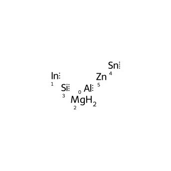 [Al].[In].[MgH2].[Si].[Sn].[Zn]